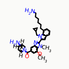 COc1cc(C(=O)N2C[C@H]3CC[C@@H]2C[C@@H]3N)cc2nc(-c3cc4cccc(CCCCCCN)c4n3CC3CC3)n(C)c12